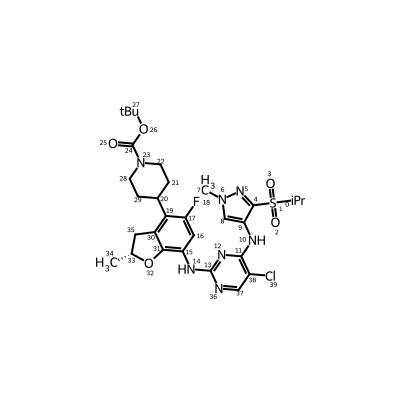 CC(C)S(=O)(=O)c1nn(C)cc1Nc1nc(Nc2cc(F)c(C3CCN(C(=O)OC(C)(C)C)CC3)c3c2O[C@H](C)C3)ncc1Cl